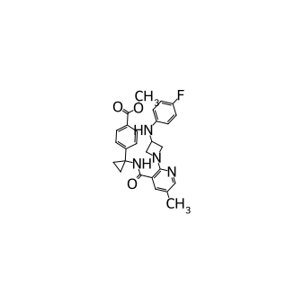 COC(=O)c1ccc(C2(NC(=O)c3cc(C)cnc3N3CC(Nc4ccc(F)cc4)C3)CC2)cc1